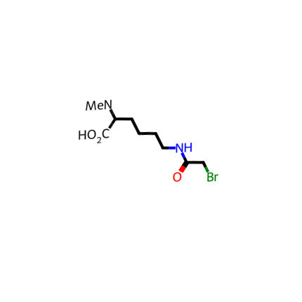 CNC(CCCCNC(=O)CBr)C(=O)O